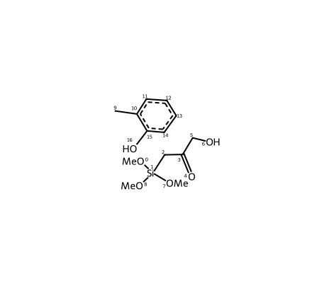 CO[Si](CC(=O)CO)(OC)OC.Cc1ccccc1O